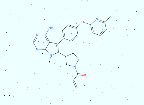 C=CC(=O)N1CCC(c2c(-c3ccc(Oc4cccc(C)n4)cc3)c3c(N)ncnc3n2C)C1